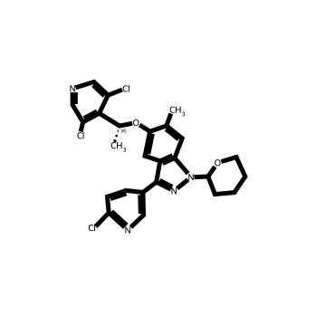 Cc1cc2c(cc1O[C@H](C)c1c(Cl)cncc1Cl)c(-c1ccc(Cl)nc1)nn2C1CCCCO1